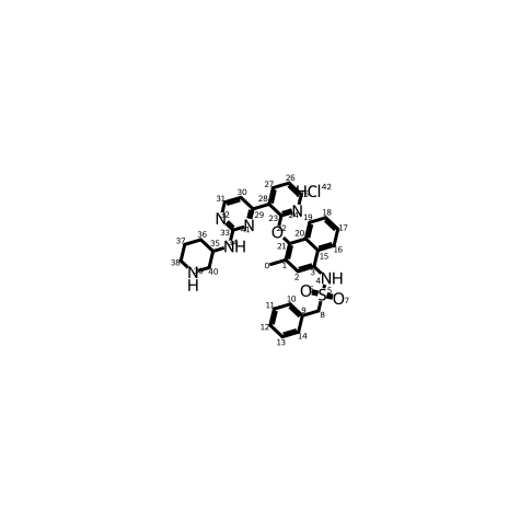 Cc1cc(NS(=O)(=O)Cc2ccccc2)c2ccccc2c1Oc1ncccc1-c1ccnc(NC2CCCNC2)n1.Cl